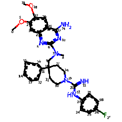 COc1cc2nc(N(C)CC3(c4ccccc4)CCN(C(=N)Nc4ccc(F)cc4)CC3)nc(N)c2cc1OC